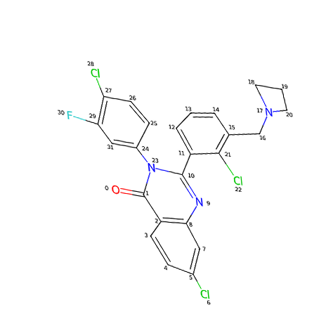 O=c1c2ccc(Cl)cc2nc(-c2cccc(CN3CCC3)c2Cl)n1-c1ccc(Cl)c(F)c1